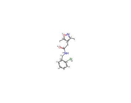 Cc1noc(C)c1CC(=O)NCc1ccccc1Br